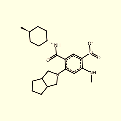 CNc1cc(N2CC3CCCC3C2)c(C(=O)N[C@H]2CC[C@H](C)CC2)cc1[N+](=O)[O-]